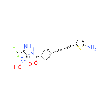 N=C(C(F)F)[C@H](NC(=O)c1ccc(C#CC#Cc2ccc(N)s2)cc1)C(=O)NO